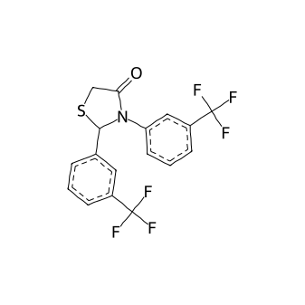 O=C1CSC(c2cccc(C(F)(F)F)c2)N1c1cccc(C(F)(F)F)c1